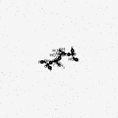 NC(=O)CC[C@H](NC(=O)COc1ccc([C@@H]2[C@@H](SCC(O)c3ccc(F)cc3)C(=O)N2c2ccc(F)cc2)cc1)C(=O)N[C@H](Cc1ccc(OC(=O)[C@@](N)(CCC(N)=O)C(=O)COc2ccc([C@@H]3[C@@H](SCC(O)c4ccc(F)cc4)C(=O)N3c3ccc(F)cc3)cc2)cc1)C(=O)O